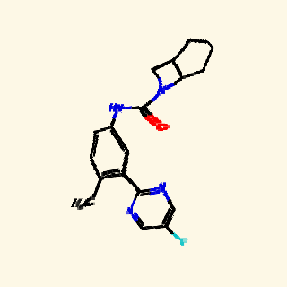 Cc1ccc(NC(=O)N2CC3CCCC32)cc1-c1ncc(F)cn1